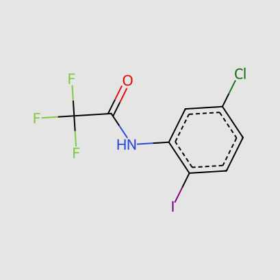 O=C(Nc1cc(Cl)ccc1I)C(F)(F)F